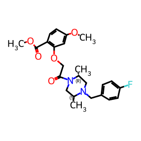 COC(=O)c1ccc(OC)cc1OCC(=O)N1C[C@H](C)N(Cc2ccc(F)cc2)C[C@H]1C